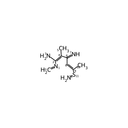 C=N/C(N)=C(/C)C(=N)/C=C(\C)SN